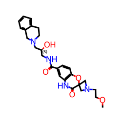 COCCN1CC2(C1)Oc1ccc(C(=O)NC[C@H](O)CN3CCc4ccccc4C3)cc1NC2=O